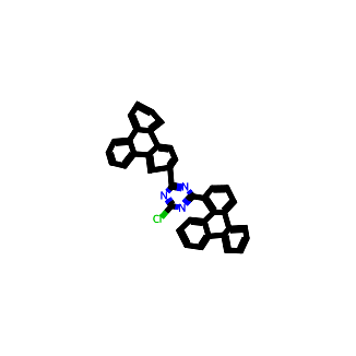 Clc1nc(-c2ccc3c4ccccc4c4ccccc4c3c2)nc(-c2cccc3c4ccccc4c4ccccc4c23)n1